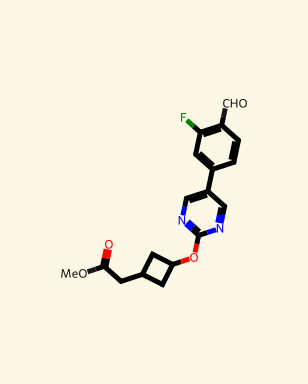 COC(=O)CC1CC(Oc2ncc(-c3ccc(C=O)c(F)c3)cn2)C1